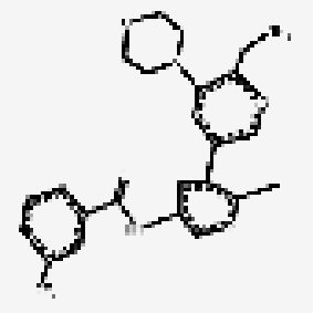 Cc1ncc(NC(=O)c2cccc(C(F)(F)F)c2)cc1-c1cnc(CN)c(N2CCOCC2)c1